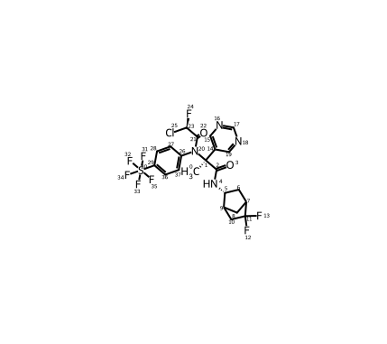 C[C@@](C(=O)N[C@@H]1CC2CC1CC2(F)F)(c1cncnc1)N(C(=O)[C@H](F)Cl)c1ccc(S(F)(F)(F)(F)F)cc1